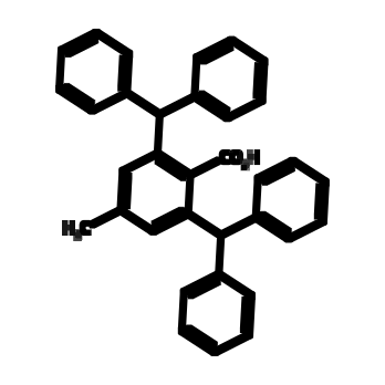 Cc1cc(C(c2ccccc2)c2ccccc2)c(C(=O)O)c(C(c2ccccc2)c2ccccc2)c1